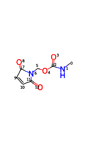 CNC(=O)OCN1C(=O)C=CC1=O